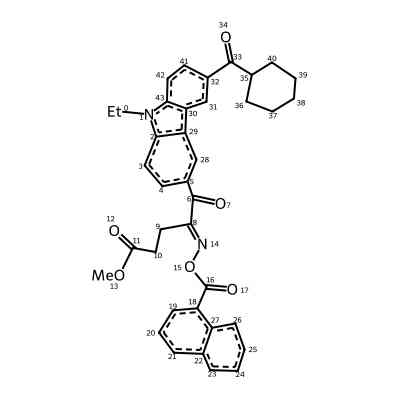 CCn1c2ccc(C(=O)/C(CCC(=O)OC)=N/OC(=O)c3cccc4ccccc34)cc2c2cc(C(=O)C3CCCCC3)ccc21